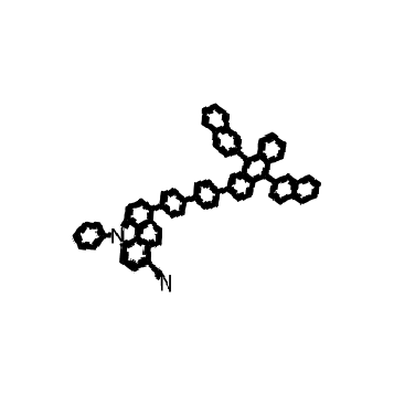 N#Cc1ccc2c3c1ccc1c(-c4ccc(-c5ccc(-c6ccc7c(-c8ccc9ccccc9c8)c8ccccc8c(-c8ccc9ccccc9c8)c7c6)cc5)cc4)ccc(c13)n2-c1ccccc1